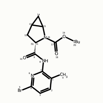 Cc1ccc(Br)nc1NC(=O)[C@@H]1CC2CC2N1C(=O)OC(C)(C)C